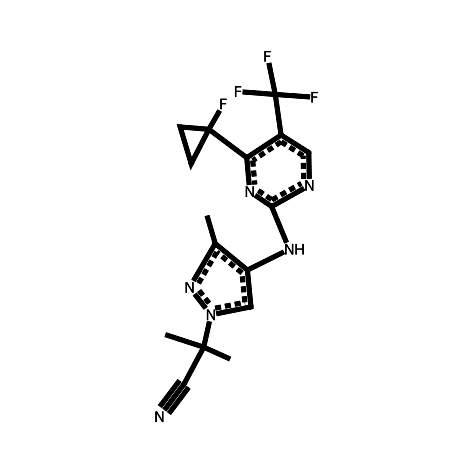 Cc1nn(C(C)(C)C#N)cc1Nc1ncc(C(F)(F)F)c(C2(F)CC2)n1